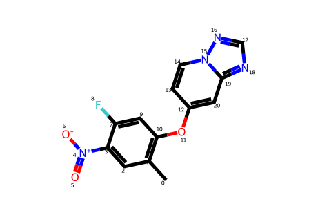 Cc1cc([N+](=O)[O-])c(F)cc1Oc1ccn2ncnc2c1